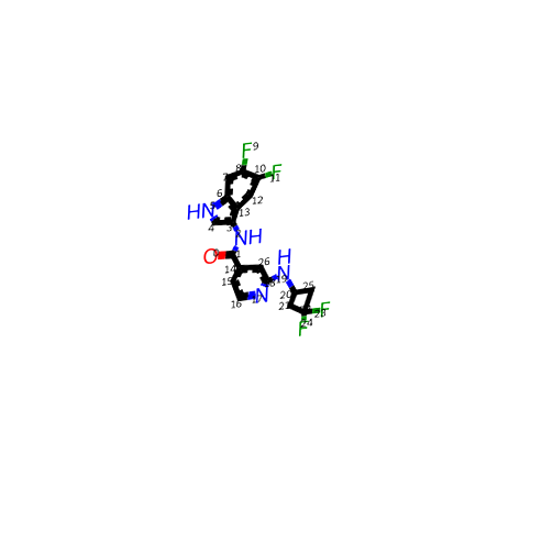 O=C(Nc1c[nH]c2cc(F)c(F)cc12)c1ccnc(NC2CC(F)(F)C2)c1